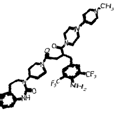 CN1CCC(N2CCN(C(=O)C(CC(=O)N3CCC(N4CCc5ccccc5NC4=O)CC3)Cc3cc(C(F)(F)F)c(N)c(C(F)(F)F)c3)CC2)CC1